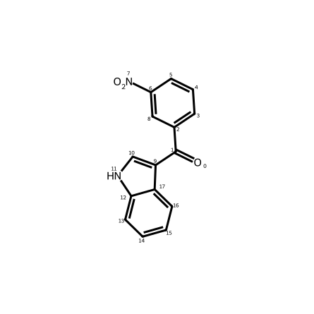 O=C(c1cccc([N+](=O)[O-])c1)c1c[nH]c2ccccc12